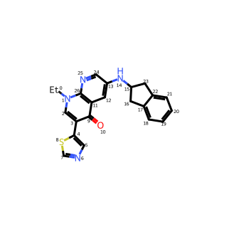 CCn1cc(-c2cncs2)c(=O)c2cc(NC3Cc4ccccc4C3)cnc21